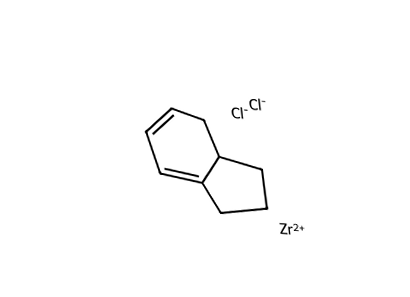 C1=CCC2CCCC2=C1.[Cl-].[Cl-].[Zr+2]